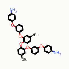 CC(C)(C)c1ccc(Oc2ccc(C(C)(C)C)cc2Oc2cccc(Oc3ccc(N)cc3)c2)c(Oc2cccc(Oc3ccc(N)cc3)c2)c1